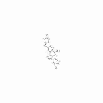 OC(c1ccc(Oc2ccc(Cl)cc2)cc1)C(Cc1ccc(Cl)cc1)n1cncn1